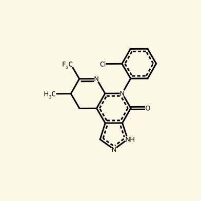 CC1Cc2c(n(-c3ccccc3Cl)c(=O)c3[nH]ncc23)N=C1C(F)(F)F